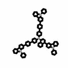 c1ccc(-n2c3ccccc3c3cc(-c4ccc(-c5ccc(N(c6ccc(-c7ccc(-c8ccc9c%10ccccc%10n(-c%10ccccc%10)c9c8)cc7)cc6)c6ccc(-c7ccc8c(c7)c7ccccc7n8-c7ccccc7)c7ccccc67)cc5)cc4)ccc32)cc1